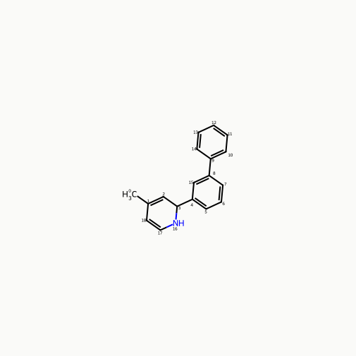 CC1=CC(c2cccc(-c3ccccc3)c2)NC=C1